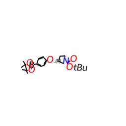 CC(C)(C)OC(=O)N1CC[C@@H](COc2ccc(B3OC(C)(C)C(C)(C)O3)cc2)C1